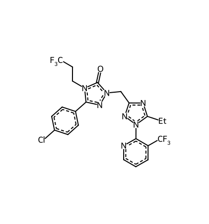 CCc1nc(Cn2nc(-c3ccc(Cl)cc3)n(CCC(F)(F)F)c2=O)nn1-c1ncccc1C(F)(F)F